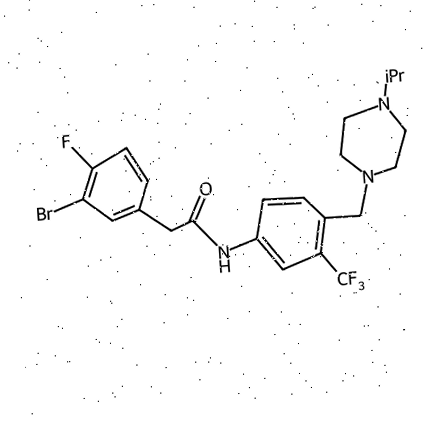 CC(C)N1CCN(Cc2ccc(NC(=O)Cc3ccc(F)c(Br)c3)cc2C(F)(F)F)CC1